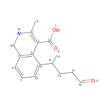 CC1=C(C(=O)O)c2c(cccc2C(C)CCC=O)C[N]1